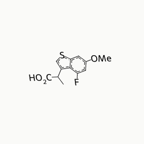 COc1cc(F)c2c(C(C)C(=O)O)csc2c1